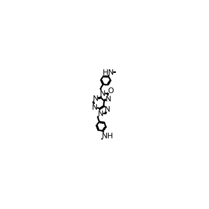 CNc1ccc(Cn2c3ncnc4c(ncn4Cc4ccc(NC)cc4)c-3nc2=O)cc1